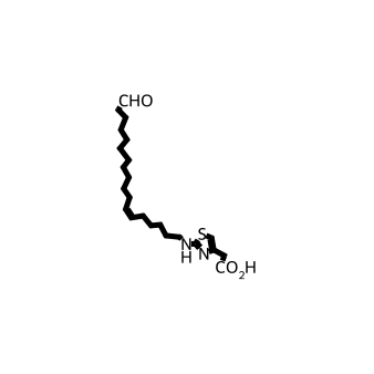 O=CCCCCCCCCCC/C=C\CCCCCNc1nc(CC(=O)O)cs1